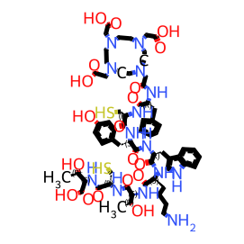 C[C@@H](O)[C@H](NC(=O)[C@H](CS)NC(=O)[C@@H](NC(=O)[C@H](CCCCN)NC(=O)[C@@H](Cc1c[nH]c2ccccc12)NC(=O)[C@H](Cc1ccc(O)cc1)NC(=O)[C@H](CS)NC(=O)[C@@H](Cc1ccccc1)NC(=O)CN1CCN(CC(=O)O)CCN(CC(=O)O)CCN(CC(=O)O)CC1)[C@@H](C)O)C(=O)O